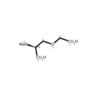 CN[C@@H](COCC(=O)O)C(=O)O